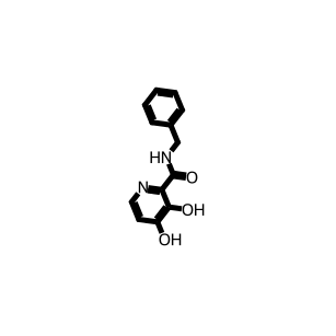 O=C(NCc1ccccc1)c1nccc(O)c1O